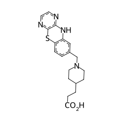 O=C(O)CCC1CCN(Cc2ccc3c(c2)Nc2nccnc2S3)CC1